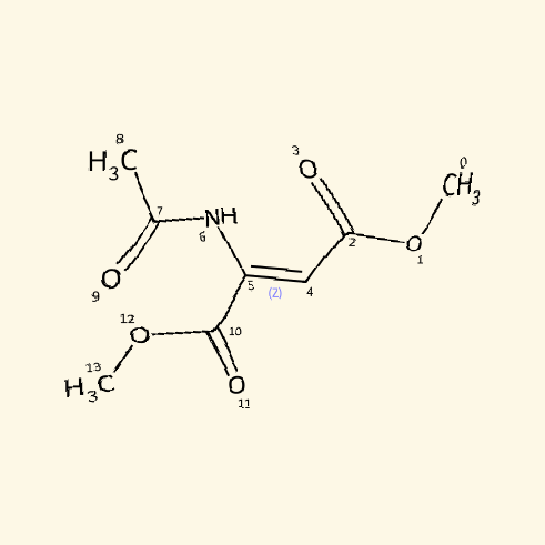 COC(=O)/C=C(\NC(C)=O)C(=O)OC